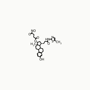 Cc1cnc(NC(=O)CC[C@@H]2C[C@H](OC(=O)CCC(=O)N=O)[C@@]3(C)CCC4c5ccc(O)cc5CCC4C23)s1